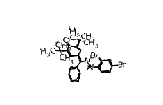 CC(C)(C)C1=CC(=C(N=Nc2ccc(Br)cc2Br)c2ccccc2)C=C(C(C)(C)C)C1=O